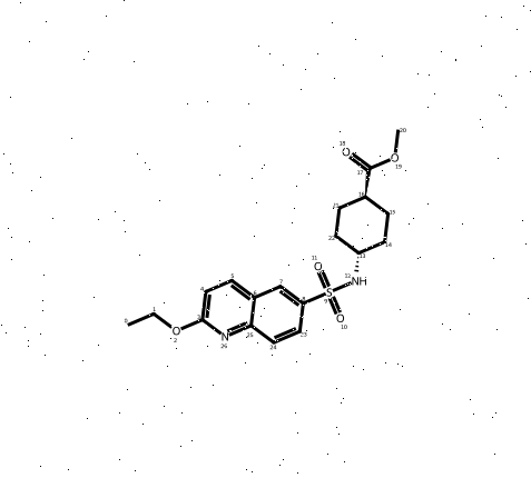 CCOc1ccc2cc(S(=O)(=O)N[C@H]3CC[C@H](C(=O)OC)CC3)ccc2n1